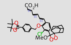 COC1(c2ccc(/C=C/C=C/C=C/C(=O)O)c(OCc3ccc(B4OC(C)(C)C(C)(C)O4)cc3)c2Cl)OOC12C1CC3CC(C1)CC2C3